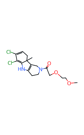 COCCOCC(=O)N1CCC2=C(C1)C1(C)CC=C(Cl)C(Cl)=C1N2